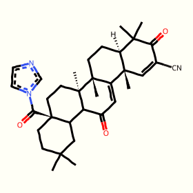 CC1(C)CC[C@]2(C(=O)n3ccnc3)CC[C@]3(C)C(C(=O)C=C4[C@@]5(C)C=C(C#N)C(=O)C(C)(C)[C@@H]5CC[C@]43C)C2C1